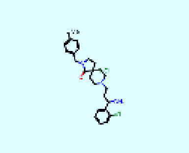 COc1ccc(CN2CCC3(CCN(CCC(N)c4ccccc4Cl)CC3)C2=O)cc1.Cl